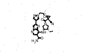 CC[C@H]1CN(C(=O)C2(C#N)CC2)C[C@H]1Nc1c(C(N)=O)cnn2cc(-c3cnn(C[C@H](C)O)c3)nc12